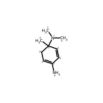 CN(C)C1(C)C=CC(N)=CC1